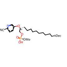 CCCCCCCCCCCCCCCCCCCC[C@H](COP(=O)(O)OC)Oc1ccc(C#N)nc1